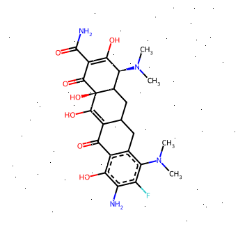 CN(C)c1c(F)c(N)c(O)c2c1CC1CC3[C@H](N(C)C)C(O)=C(C(N)=O)C(=O)[C@@]3(O)C(O)=C1C2=O